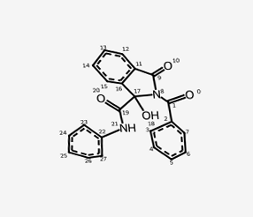 O=C(c1ccccc1)N1C(=O)c2ccccc2C1(O)C(=O)Nc1ccccc1